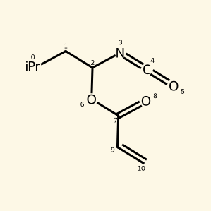 [CH2]C(C)CC(N=C=O)OC(=O)C=C